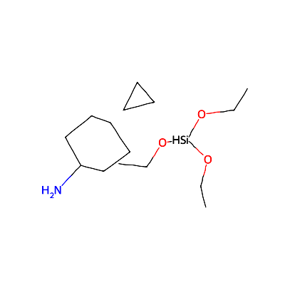 C1CC1.CCO[SiH](OCC)OCC.NC1CCCCC1